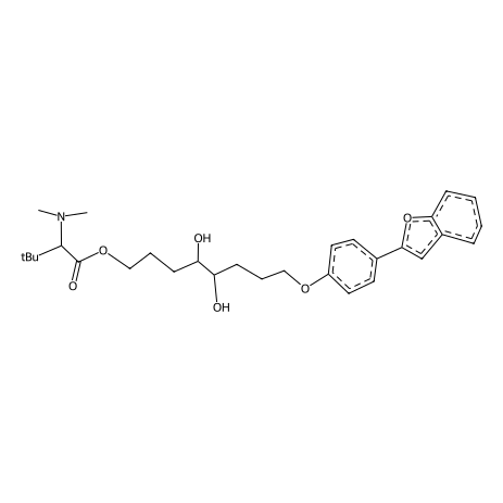 CN(C)C(C(=O)OCCCC(O)C(O)CCCOc1ccc(-c2cc3ccccc3o2)cc1)C(C)(C)C